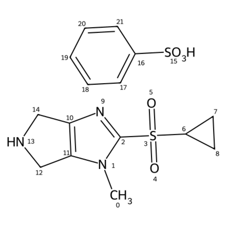 Cn1c(S(=O)(=O)C2CC2)nc2c1CNC2.O=S(=O)(O)c1ccccc1